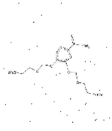 COCCOCOc1ccc(C(N)=S)cc1OCOCCOC